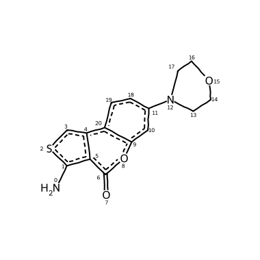 Nc1scc2c1c(=O)oc1cc(N3CCOCC3)ccc12